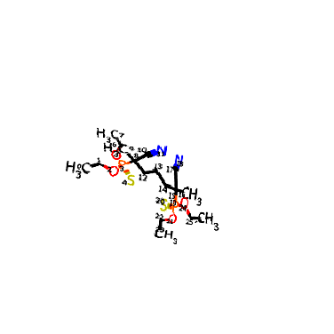 CCOP(=S)(OCC)C(C)(C#N)CCCC(C)(C#N)P(=S)(OCC)OCC